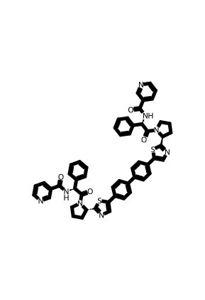 O=C(N[C@H](C(=O)N1CCC[C@H]1c1ncc(-c2ccc(-c3ccc(-c4cnc([C@@H]5CCCN5C(=O)[C@H](NC(=O)c5cccnc5)c5ccccc5)s4)cc3)cc2)s1)c1ccccc1)c1cccnc1